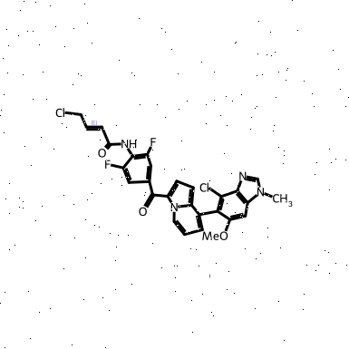 COc1cc2c(ncn2C)c(Cl)c1-c1cccn2c(C(=O)c3cc(F)c(NC(=O)/C=C/CCl)c(F)c3)ccc12